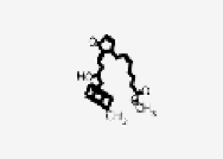 COC(=O)CCC/C=C\CC1C=CC(=O)/C1=C/CC(O)CC12C3C4C1C1C2C3C41C